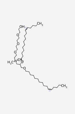 CCCC/C=C\CCCCCCCCCCOCC(C[N+](C)(C)CCOCCOCCOCCO)OCCCCCCCCCC/C=C\CCCC